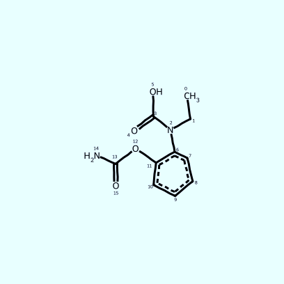 CCN(C(=O)O)c1ccccc1OC(N)=O